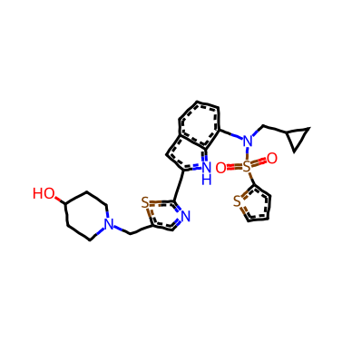 O=S(=O)(c1cccs1)N(CC1CC1)c1cccc2cc(-c3ncc(CN4CCC(O)CC4)s3)[nH]c12